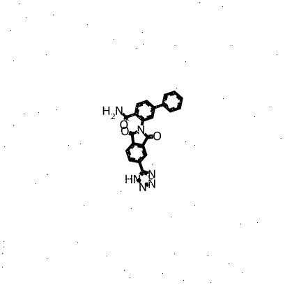 NC(=O)c1ccc(-c2ccccc2)cc1N1C(=O)c2ccc(-c3nnn[nH]3)cc2C1=O